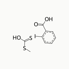 CSC(O)=S.O=C(O)c1ccccc1I